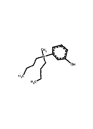 CCCC[N+](C)(CCCC)c1cccc(O)c1